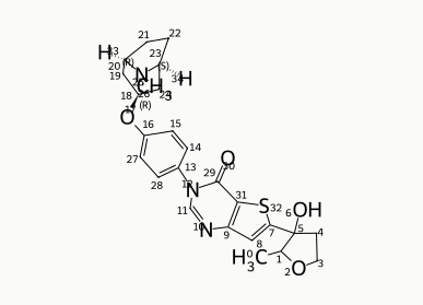 CC1OCCC1(O)c1cc2ncn(-c3ccc(O[C@H]4C[C@H]5CC[C@@H](C4)N5C)cc3)c(=O)c2s1